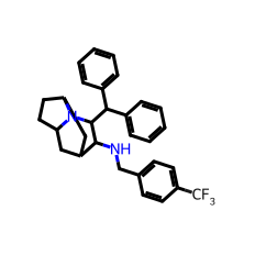 FC(F)(F)c1ccc(CNC2C3CC4CCC(C3)N4C2C(c2ccccc2)c2ccccc2)cc1